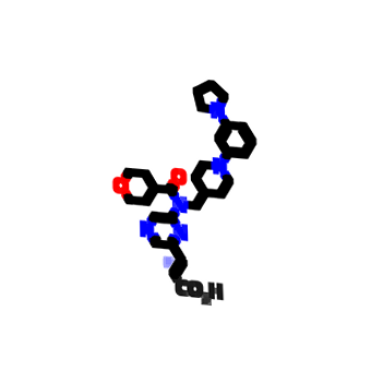 O=C(O)/C=C/c1cncc(N(CC2CCN(c3cccc(N4CCCC4)c3)CC2)C(=O)C2CCOCC2)n1